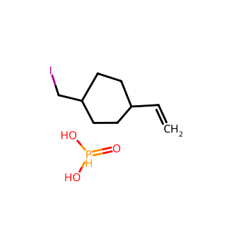 C=CC1CCC(CI)CC1.O=[PH](O)O